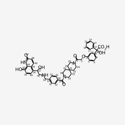 O=C(COc1cccc(C(O)(C(=O)O)c2ccccc2)c1)N1CCC2(CC1)CCN(C(=O)c1ccc(CNCC(O)c3ccc(O)c4[nH]c(=O)ccc34)cc1)CC2